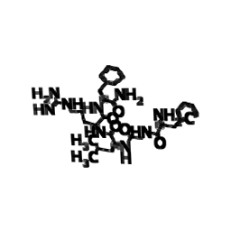 CC(C)C[C@H](NC(=O)CNC(=O)[C@@H](N)Cc1ccccc1)C(=O)N[C@@H](CCCNC(=N)N)C(=O)N[C@@H](Cc1ccccc1)C(N)=O